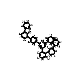 c1ccc(-c2ccc3oc4cccc(-c5cc(-c6ccccc6)nc(-c6ccc(-c7cccc8c7sc7ccccc78)cc6)n5)c4c3c2)cc1